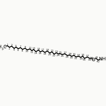 CCCCCCCCCCCCCCCCCCCCCCCCCCCCCCCCCCCCCCCCOCCN